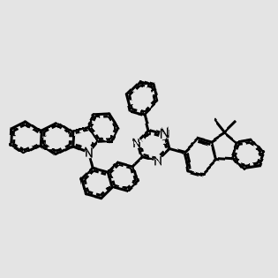 CC1(C)C2=CC(c3nc(-c4ccccc4)nc(-c4ccc5cccc(-n6c7ccccc7c7cc8ccccc8cc76)c5c4)n3)=CCC2c2ccccc21